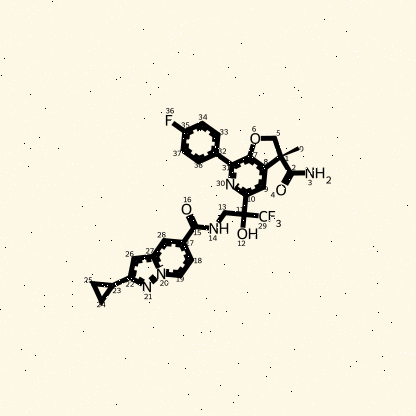 C[C@]1(C(N)=O)COc2c1cc(C(O)(CNC(=O)c1ccn3nc(C4CC4)cc3c1)C(F)(F)F)nc2-c1ccc(F)cc1